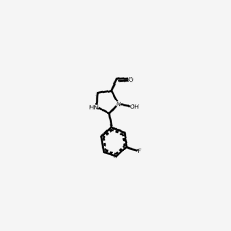 O=CC1CNC(c2cccc(F)c2)N1O